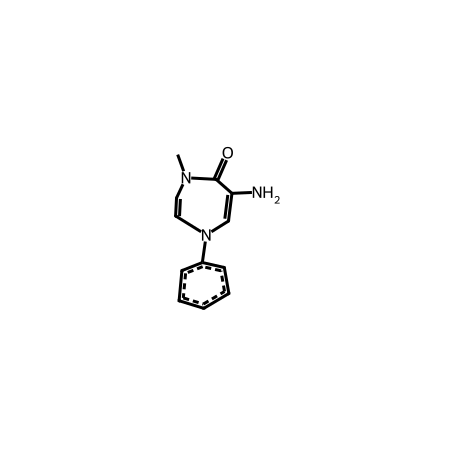 CN1C=CN(c2ccccc2)C=C(N)C1=O